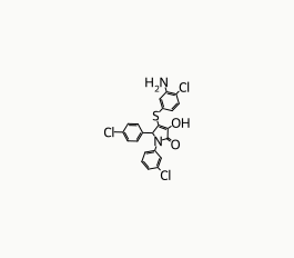 Nc1cc(SC2=C(O)C(=O)N(c3cccc(Cl)c3)C2c2ccc(Cl)cc2)ccc1Cl